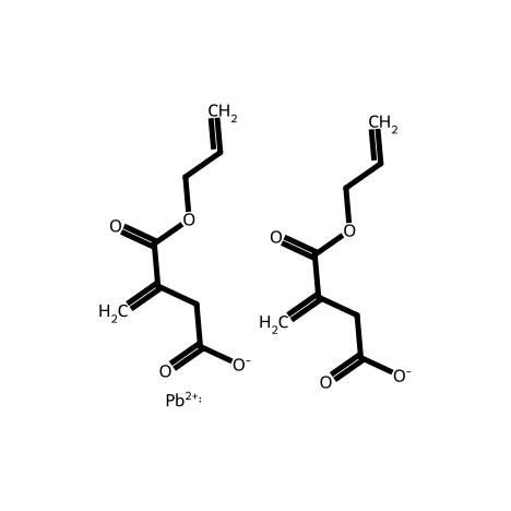 C=CCOC(=O)C(=C)CC(=O)[O-].C=CCOC(=O)C(=C)CC(=O)[O-].[Pb+2]